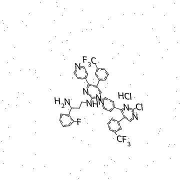 Cl.FC(F)(F)c1cccc(-c2cnc(Cl)nc2-c2ccncc2)c1.NC(CCNc1ncc(-c2cccc(C(F)(F)F)c2)c(-c2ccncc2)n1)c1ccccc1F